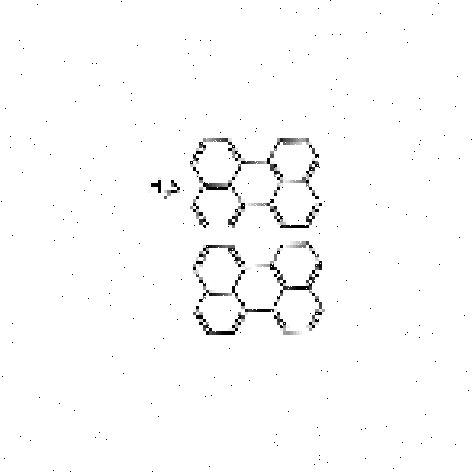 S.c1cc2cccc3c4cccc5cccc(c(c1)c23)c54.c1cc2cccc3c4cccc5cccc(c(c1)c23)c54